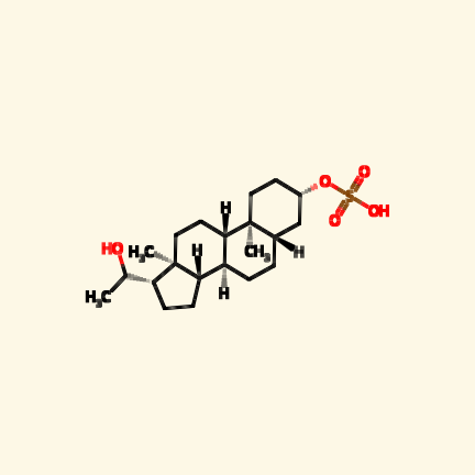 CC(O)[C@H]1CC[C@H]2[C@@H]3CC[C@H]4C[C@@H](OS(=O)(=O)O)CC[C@]4(C)[C@H]3CC[C@]12C